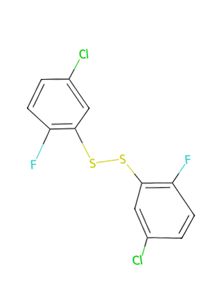 Fc1ccc(Cl)cc1SSc1cc(Cl)ccc1F